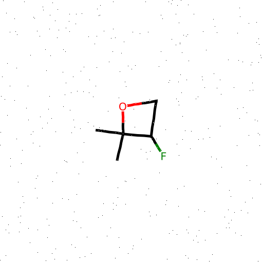 CC1(C)OCC1F